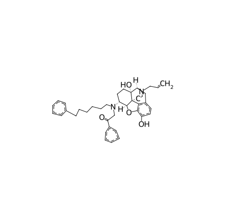 C=CCN1CC[C@]23c4c5ccc(O)c4O[C@H]2[C@H](N(CCCCCCc2ccccc2)CC(=O)c2ccccc2)CC[C@@]3(O)[C@H]1C5